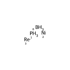 B.P.[Ni].[Re]